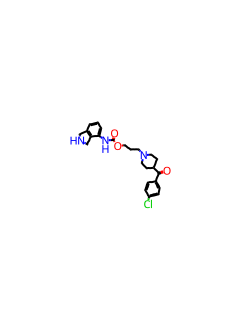 O=C(Nc1cccc2c1CNC2)OCCCN1CCC(C(=O)c2ccc(Cl)cc2)CC1